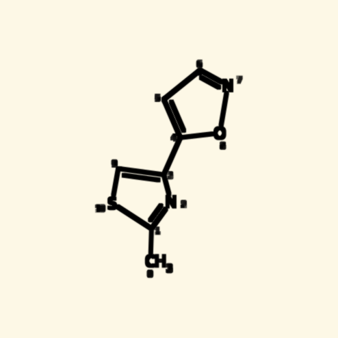 Cc1nc(-c2c[c]no2)cs1